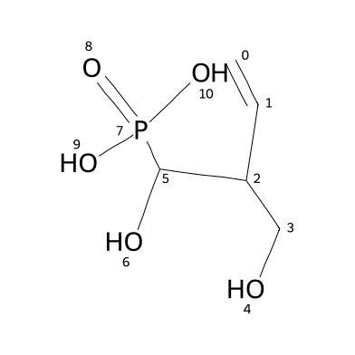 C=CC(CO)C(O)P(=O)(O)O